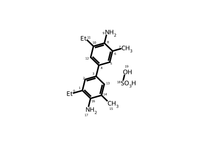 CCc1cc(-c2cc(C)c(N)c(CC)c2)cc(C)c1N.O=S(=O)(O)O